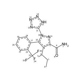 CCC(C)c1c(C(N)=O)nn(-c2nnn[nH]2)c1-c1ccccc1C(F)(F)F